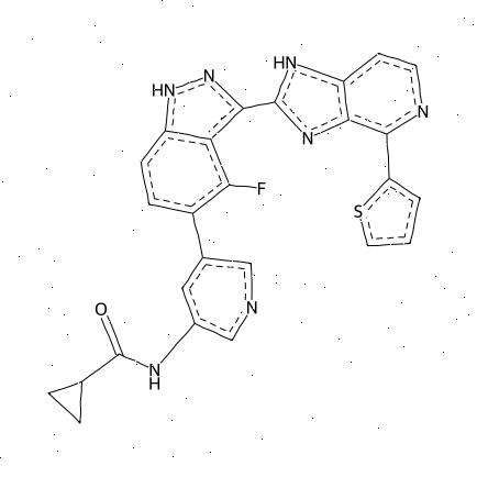 O=C(Nc1cncc(-c2ccc3[nH]nc(-c4nc5c(-c6cccs6)nccc5[nH]4)c3c2F)c1)C1CC1